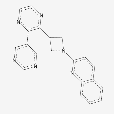 c1ccc2nc(N3CC(c4nccnc4-c4cncnc4)C3)ccc2c1